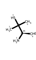 CC(C)(S)[C@H](N)C=O